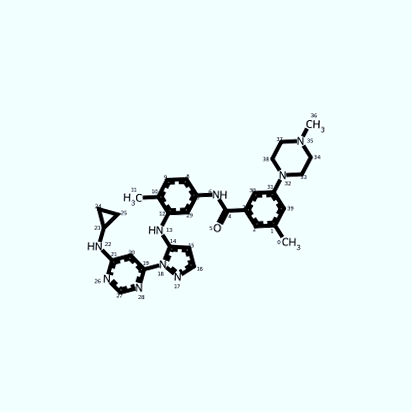 Cc1cc(C(=O)Nc2ccc(C)c(Nc3ccnn3-c3cc(NC4CC4)ncn3)c2)cc(N2CCN(C)CC2)c1